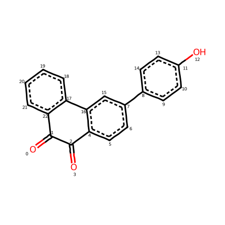 O=C1C(=O)c2ccc(-c3ccc(O)cc3)cc2-c2ccccc21